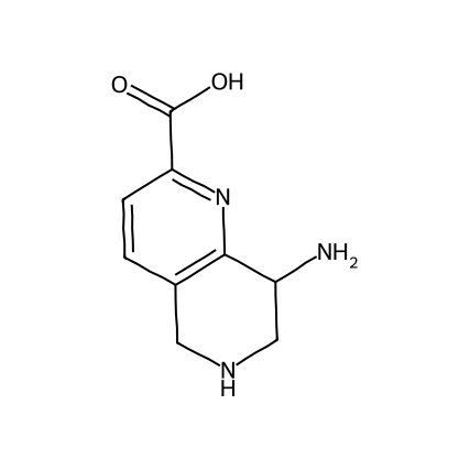 NC1CNCc2ccc(C(=O)O)nc21